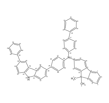 CC1(C)c2ccccc2-c2ccc(N(c3ccc(-c4ccccc4)cc3)c3ccc(-c4ccc5[nH]c6ccc(-c7ccccc7)cc6c5c4)cc3)cc21